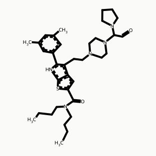 CCCCN(CCCC)C(=O)c1cc2c(CCN3CCN(C(C=O)N4CCCC4)CC3)c(-c3cc(C)cc(C)c3)[nH]c2s1